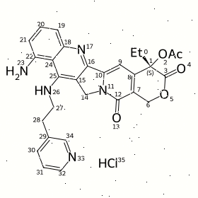 CC[C@@]1(OC(C)=O)C(=O)OCc2c1cc1n(c2=O)Cc2c-1nc1cccc(N)c1c2NCCc1cccnc1.Cl